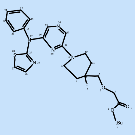 CC(C)(C)OC(=O)COCC1(F)CCN(c2cncc(N(c3ccccc3)c3nccs3)n2)CC1